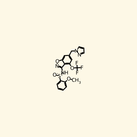 COc1ccccc1[S+]([O-])Nc1noc2cc(Cn3cccn3)cc(OC(F)(F)F)c12